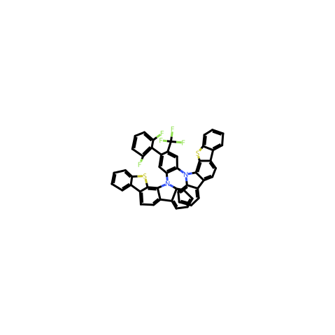 Fc1cccc(F)c1-c1cc(-n2c3ccccc3c3ccc4c5ccccc5sc4c32)c(-n2c3ccccc3c3ccc4c5ccccc5sc4c32)cc1C(F)(F)F